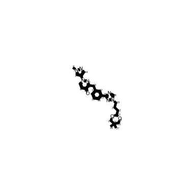 Cn1cc(-n2ccc(=O)c(Cc3cccc(-c4ncn(CCCC5OCC(C)(C)CO5)n4)c3)n2)cn1